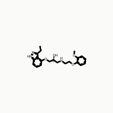 CCc1n[nH]c2cccc(OC[C@@H](O)CNCCOc3ccccc3OC)c12